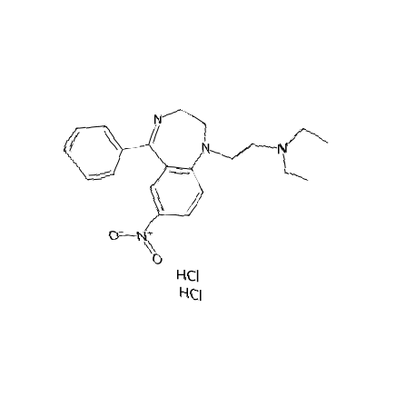 CCN(CC)CCN1CCN=C(c2ccccc2)c2cc([N+](=O)[O-])ccc21.Cl.Cl